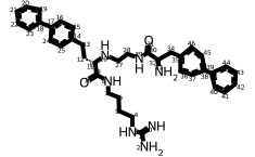 N=C(N)NCCCCNC(=O)[C@H](CCc1ccc(-c2ccccc2)cc1)NCCNC(=O)C(N)Cc1ccc(-c2ccccc2)cc1